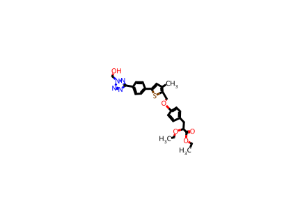 CCOC(=O)C(Cc1ccc(OCc2sc(-c3ccc(-c4nnn(CO)n4)cc3)cc2C)cc1)OCC